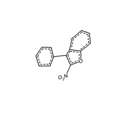 O=[N+]([O-])c1oc2ccc[c]c2c1-c1ccccc1